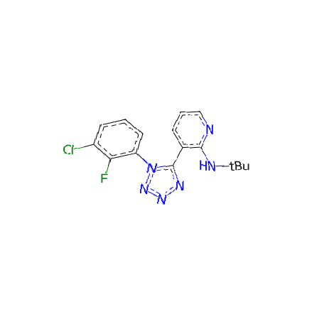 CC(C)(C)Nc1ncccc1-c1nnnn1-c1cccc(Cl)c1F